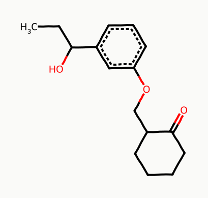 CCC(O)c1cccc(OCC2CCCCC2=O)c1